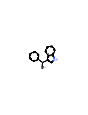 CCCC(c1ccccc1)c1c[nH]c2ccccc12